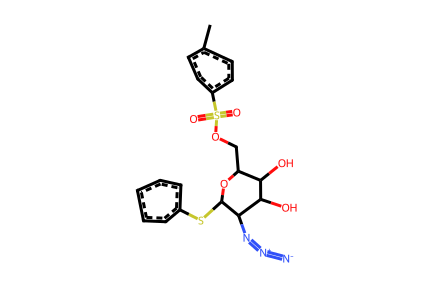 Cc1ccc(S(=O)(=O)OCC2OC(Sc3ccccc3)C(N=[N+]=[N-])C(O)C2O)cc1